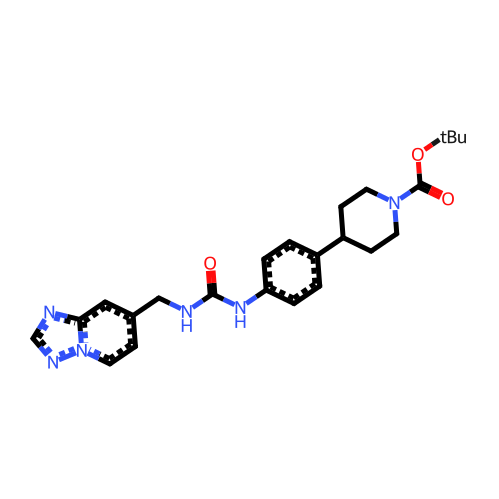 CC(C)(C)OC(=O)N1CCC(c2ccc(NC(=O)NCc3ccn4ncnc4c3)cc2)CC1